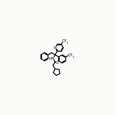 O=C(CC1CCCC1)NC(Cc1ccccc1)(c1cccc(C(F)(F)F)c1)c1ccc(C(F)(F)F)cn1